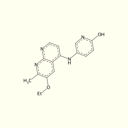 CCOc1cc2c(Nc3ccc(O)nc3)ccnc2nc1C